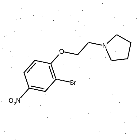 O=[N+]([O-])c1ccc(OCCN2CCCC2)c(Br)c1